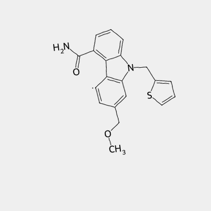 COCc1c[c]c2c3c(C(N)=O)cccc3n(Cc3cccs3)c2c1